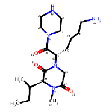 CCC(C)[C@H]1C(=O)N([C@@H](CCCCN)C(=O)N2CCNCC2)CC(=O)N1C